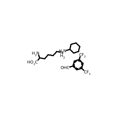 NC1CCCCC1.NCCCCC(N)C(=O)O.O=Cc1cc(C(F)(F)F)cc(C(F)(F)F)c1